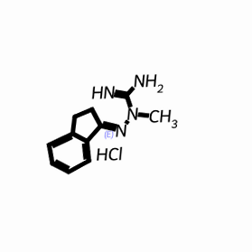 CN(/N=C1\CCc2ccccc21)C(=N)N.Cl